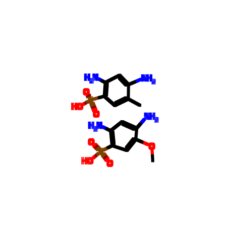 COc1cc(S(=O)(=O)O)c(N)cc1N.Cc1cc(S(=O)(=O)O)c(N)cc1N